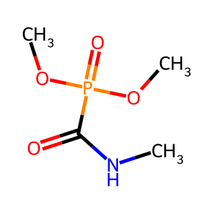 CNC(=O)P(=O)(OC)OC